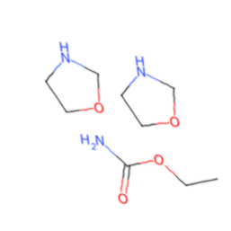 C1COCN1.C1COCN1.CCOC(N)=O